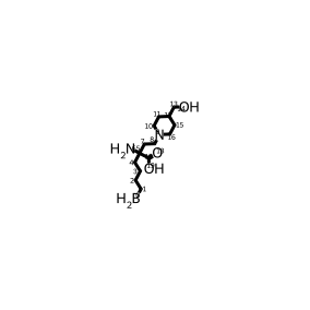 BCCCCC(N)(CCN1CCC(CO)CC1)C(=O)O